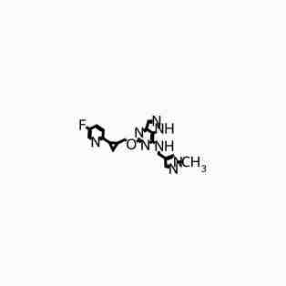 Cn1cc(CNc2nc(OCC3CC3c3ccc(F)cn3)nc3cn[nH]c23)cn1